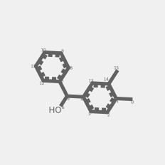 Cc1ccc(C(O)c2ccccc2)cc1C